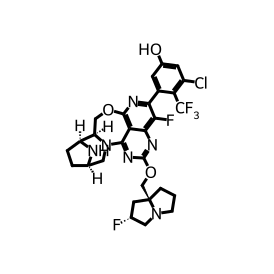 Oc1cc(Cl)c(C(F)(F)F)c(-c2nc3c4c(nc(OC[C@@]56CCCN5C[C@H](F)C6)nc4c2F)N2C[C@H]4CC[C@H](N4)[C@H]2CO3)c1